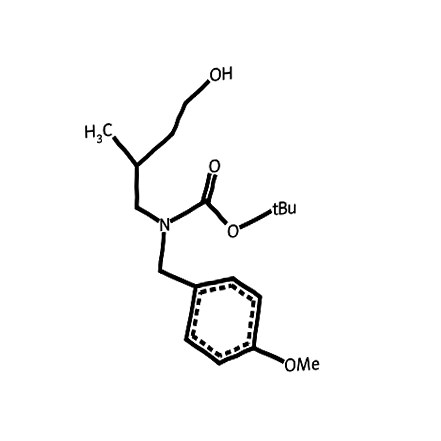 COc1ccc(CN(CC(C)CCO)C(=O)OC(C)(C)C)cc1